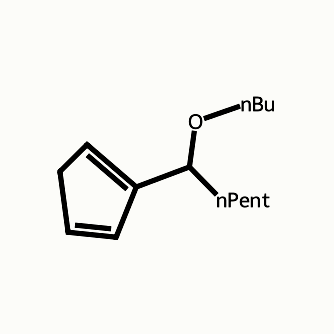 CCCCCC(OCCCC)C1=CCC=C1